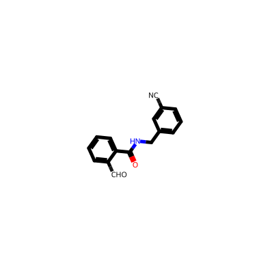 N#Cc1cccc(CNC(=O)c2ccccc2C=O)c1